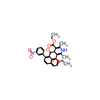 CCOC(=O)C1=C(C)NC(C)=C(C(=O)OCC)C1C(=O)c1c(-c2cccc([N+](=O)[O-])c2)ccc2ccccc12